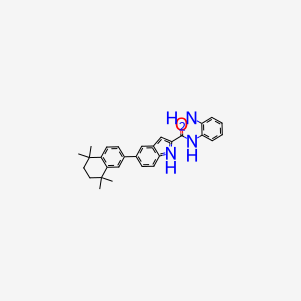 CC1(C)CCC(C)(C)c2cc(-c3ccc4[nH]c(C(=O)Nc5ccccc5N)cc4c3)ccc21